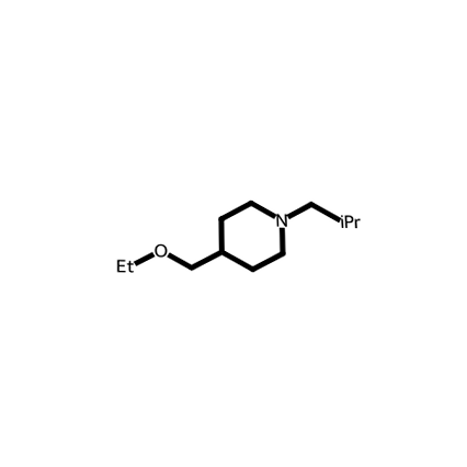 CCOCC1CCN(CC(C)C)CC1